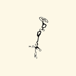 C=C(C)C(=O)OCCCc1ccc(OC(=O)C2CCC(C=O)CC2)cc1